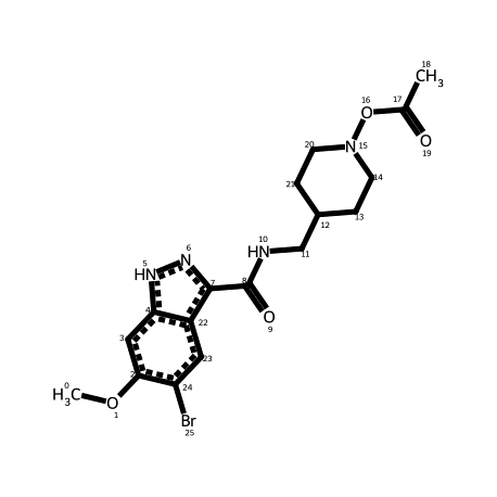 COc1cc2[nH]nc(C(=O)NCC3CCN(OC(C)=O)CC3)c2cc1Br